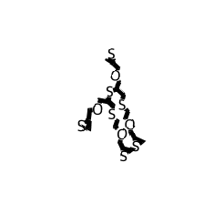 C(CSCC(COCC1CS1)SC(COCC1CS1)CSCCOCC1CS1)OCC1CS1